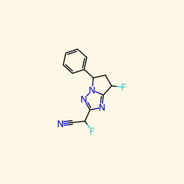 N#CC(F)c1nc2n(n1)C(c1ccccc1)CC2F